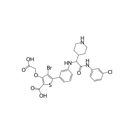 O=C(O)COc1c(C(=O)O)sc(-c2cccc(NC(C(=O)Nc3cccc(Cl)c3)C3CCNCC3)c2)c1Br